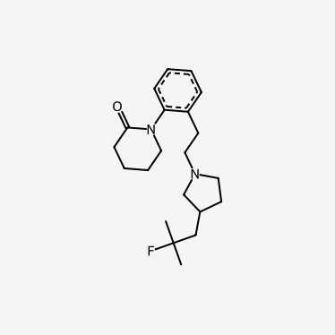 CC(C)(F)CC1CCN(CCc2ccccc2N2CCCCC2=O)C1